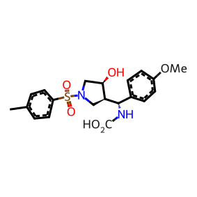 COc1ccc([C@H](NC(=O)O)[C@H]2CN(S(=O)(=O)c3ccc(C)cc3)C[C@H]2O)cc1